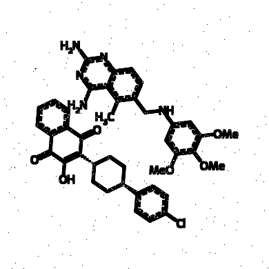 COc1cc(NCc2ccc3nc(N)nc(N)c3c2C)cc(OC)c1OC.O=C1C(O)=C([C@H]2CC[C@H](c3ccc(Cl)cc3)CC2)C(=O)c2ccccc21